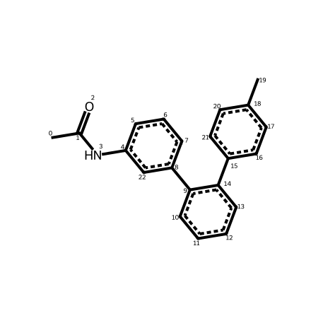 CC(=O)Nc1cc[c]c(-c2ccccc2-c2ccc(C)cc2)c1